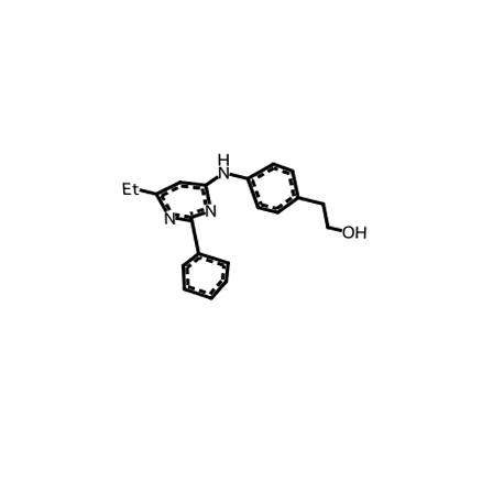 CCc1cc(Nc2ccc(CCO)cc2)nc(-c2ccccc2)n1